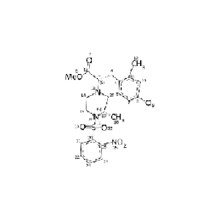 COC(=O)[C@H](Cc1ccc(Cl)cc1C)N1CCN(S(=O)(=O)c2ccccc2[N+](=O)[O-])[C@@H](C)C1